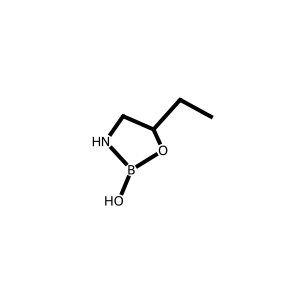 CCC1CNB(O)O1